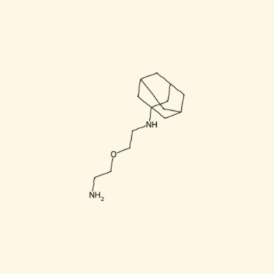 NCCOCCNC12CC3CC(CC(C3)C1)C2